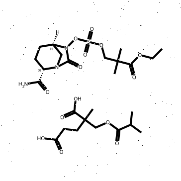 CC(C)C(=O)OCC(C)(CCC(=O)O)C(=O)O.CCOC(=O)C(C)(C)COS(=O)(=O)ON1C(=O)N2C[C@H]1CC[C@H]2C(N)=O